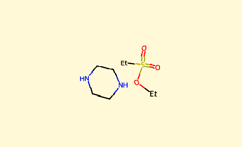 C1CNCCN1.CCOS(=O)(=O)CC